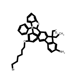 CCC1(CC)c2cc(N)ccc2-c2ccc(C3Sc4ccccc4[N+]3(c3ccccc3)c3cccc(OCCCCCCBr)c3)cc21